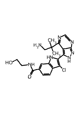 CC(C)(CN)c1ncnc2n[nH]c(-c3[nH]c4cc(C(=O)NCCO)ccc4c3Cl)c12